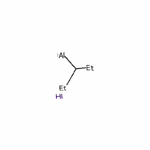 CC[CH]([Al])CC.I